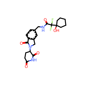 O=C1CCC(N2Cc3cc(CNC(=O)C(F)(F)C4(O)CCCCC4)ccc3C2=O)C(=O)N1